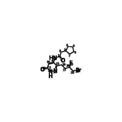 O=C(CC1CCCC1)Nc1cc(=O)[nH]nc1CCC(F)CBr